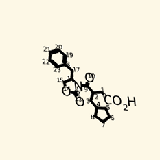 O=C(O)CC(CC1CCCC1)C(=O)N1C(=O)OCC1Cc1ccccc1